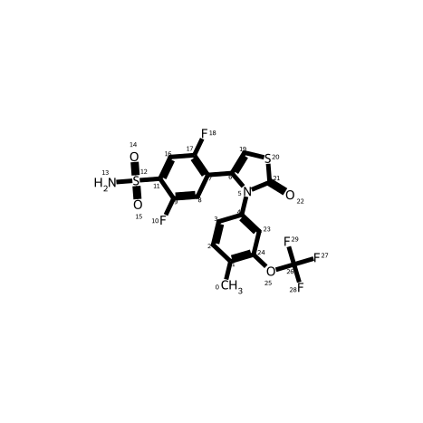 Cc1ccc(-n2c(-c3cc(F)c(S(N)(=O)=O)cc3F)csc2=O)cc1OC(F)(F)F